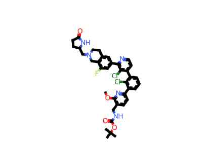 COc1nc(-c2cccc(-c3ccnc(-c4cc(F)c5c(c4)CCN(CC4CCC(=O)N4)C5)c3Cl)c2Cl)ccc1CNC(=O)OC(C)(C)C